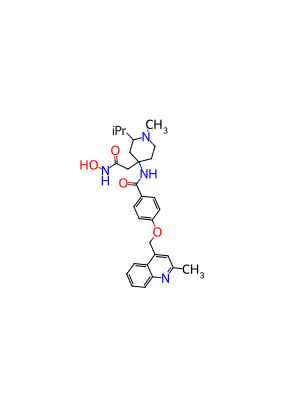 Cc1cc(COc2ccc(C(=O)NC3(CC(=O)NO)CCN(C)C(C(C)C)C3)cc2)c2ccccc2n1